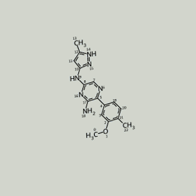 COc1cc(-c2ncc(Nc3cc(C)[nH]n3)nc2N)ccc1C